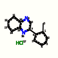 Cc1ccccc1-c1cnc2ccccc2n1.Cl